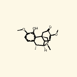 COC1=CC2[C@@H]3[C@H](C)c4ccc(OC)c(O)c4[C@]2(CCN3C)CC1=O